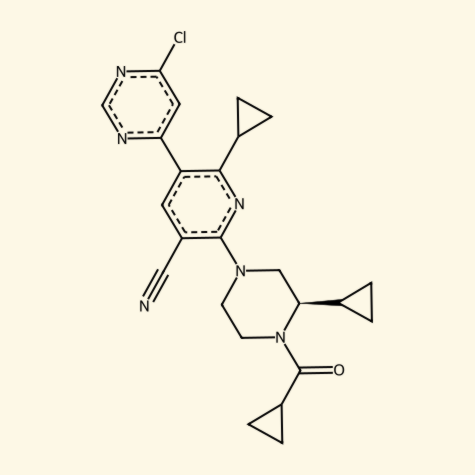 N#Cc1cc(-c2cc(Cl)ncn2)c(C2CC2)nc1N1CCN(C(=O)C2CC2)[C@H](C2CC2)C1